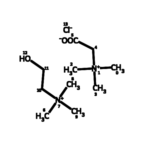 C[N+](C)(C)CC(=O)[O-].C[N+](C)(C)CCO.[Cl-]